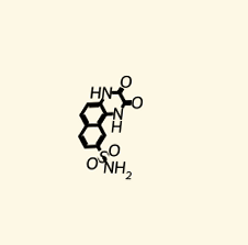 NS(=O)(=O)c1ccc2ccc3[nH]c(=O)c(=O)[nH]c3c2c1